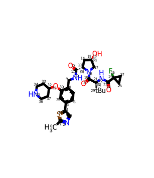 Cc1ncc(-c2ccc(CNC(=O)[C@@H]3C[C@@H](O)CN3C(=O)[C@@H](NC(=O)C3(F)CC3)C(C)(C)C)c(OC3CCNCC3)c2)s1